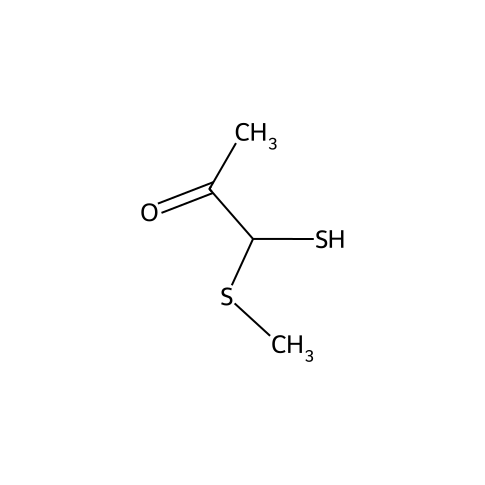 CSC(S)C(C)=O